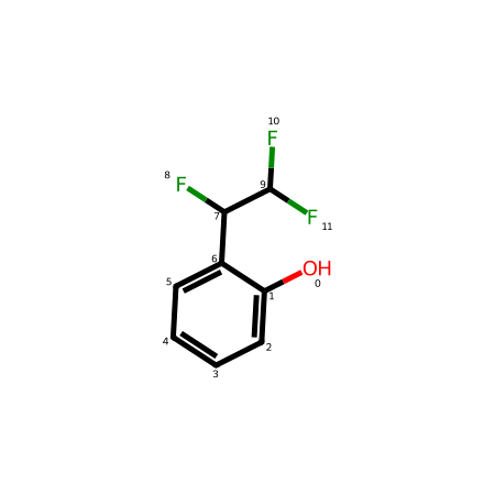 Oc1ccccc1C(F)C(F)F